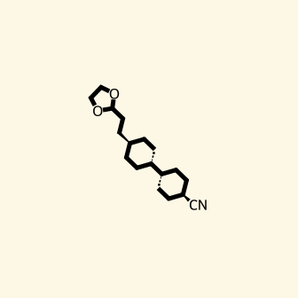 N#C[C@H]1CC[C@H]([C@H]2CC[C@H](CCC3OCCO3)CC2)CC1